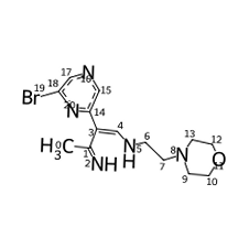 CC(=N)/C(=C\NCCN1CCOCC1)c1cncc(Br)n1